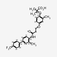 Cc1cc(OCCC(=O)Nc2ccc(-c3ccc(C(F)(F)F)cc3)nc2C)ccc1OC(C)(C)C(=O)O